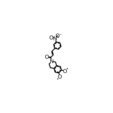 COc1cc2c(cc1OC)CN(C(=O)C=Cc1cccc([N+](=O)[O-])c1)CC2